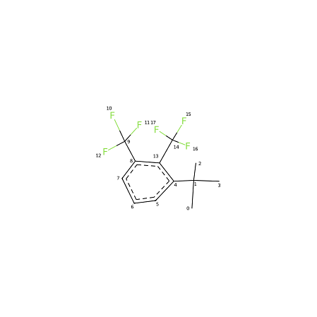 CC(C)(C)c1cccc(C(F)(F)F)c1C(F)(F)F